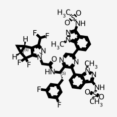 Cn1nc(NS(C)(=O)=O)c2cccc(-c3cnc([C@H](Cc4cc(F)cc(F)c4)NC(=O)Cn4nc(C(F)F)c5c4C(F)(F)[C@@H]4C[C@H]54)c(-c4cccc5c(NS(C)(=O)=O)nn(C)c45)n3)c21